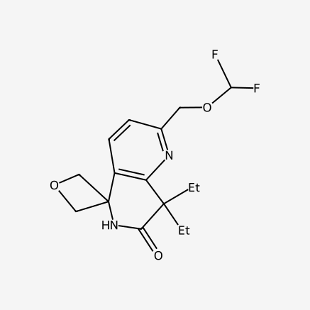 CCC1(CC)C(=O)NC2(COC2)c2ccc(COC(F)F)nc21